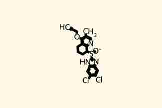 C#CCOc1c(C)cnc2c1CCCC2[S+]([O-])c1nc2cc(Cl)c(Cl)cc2[nH]1